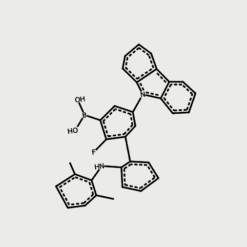 Cc1cccc(C)c1Nc1ccccc1-c1cc(-n2c3ccccc3c3ccccc32)cc(B(O)O)c1F